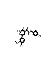 COc1cc(-c2cc(C(=O)NCc3ccc(Cl)cc3)c(=O)[nH]n2)ccc1O